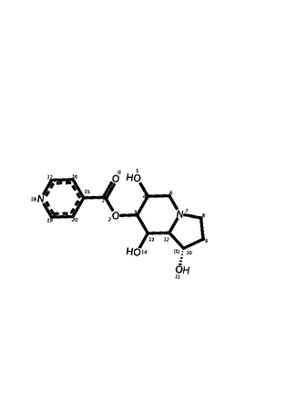 O=C(OC1C(O)CN2CC[C@H](O)C2C1O)c1ccncc1